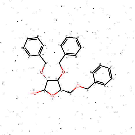 OC1O[C@H](COCc2ccccc2)C(OCc2ccccc2)[C@H]1OCc1ccccc1